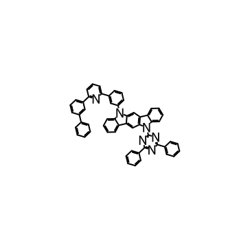 c1ccc(-c2cccc(-c3cccc(-c4cccc(-n5c6ccccc6c6cc7c(cc65)c5ccccc5n7-c5nc(-c6ccccc6)nc(-c6ccccc6)n5)c4)n3)c2)cc1